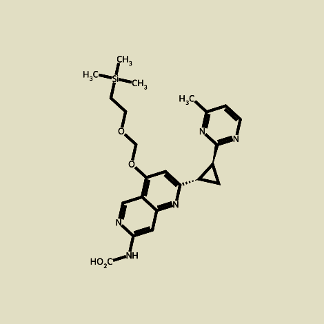 Cc1ccnc([C@H]2C[C@@H]2c2cc(OCOCC[Si](C)(C)C)c3cnc(NC(=O)O)cc3n2)n1